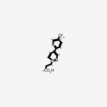 O=C(O)CC[n+]1ccc(-c2ccc(C(F)(F)F)cn2)cn1